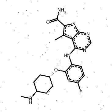 CN[C@H]1CC[C@H](Oc2cc(F)ccc2Nc2ncnc3sc(C(N)=O)c(C)c23)CC1